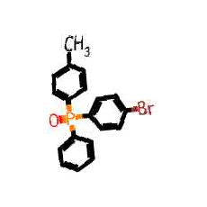 Cc1ccc(P(=O)(c2ccccc2)c2ccc(Br)cc2)cc1